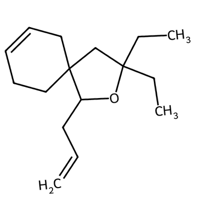 C=CCC1OC(CC)(CC)CC12CC=CCC2